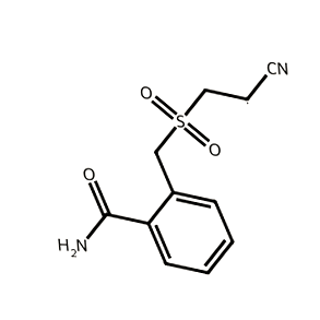 N#C[CH]CS(=O)(=O)Cc1ccccc1C(N)=O